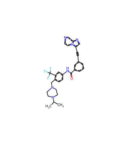 CC(C)N1CCN(Cc2ccc(NC(=O)c3cccc(C#Cc4cnc5cnccn45)c3)cc2C(F)(F)F)CC1